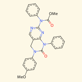 COC(=O)N(c1ccccc1)c1ncc2c(n1)N(c1ccccc1)C(=O)N(c1ccc(OC)cc1)C2